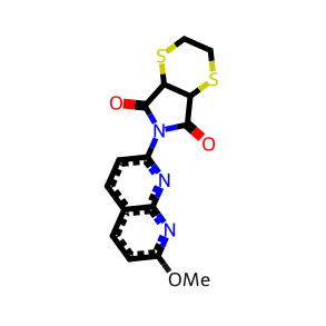 COc1ccc2ccc(N3C(=O)C4SCCSC4C3=O)nc2n1